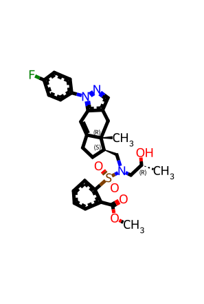 COC(=O)c1ccccc1S(=O)(=O)N(C[C@H]1CCC2=Cc3c(cnn3-c3ccc(F)cc3)C[C@@]21C)C[C@@H](C)O